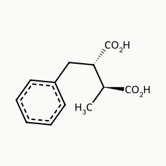 C[C@H](C(=O)O)[C@H](Cc1ccccc1)C(=O)O